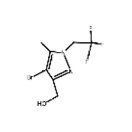 Cc1c(Br)c(CO)nn1CC(F)(F)F